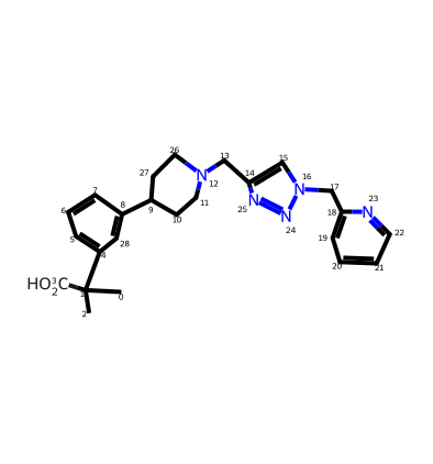 CC(C)(C(=O)O)c1cccc(C2CCN(Cc3cn(Cc4ccccn4)nn3)CC2)c1